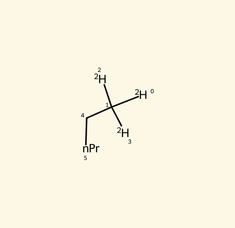 [2H]C([2H])([2H])CCCC